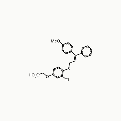 COc1ccc(/C(=C\CSc2ccc(OCC(=O)O)cc2Cl)c2ccccc2)cc1